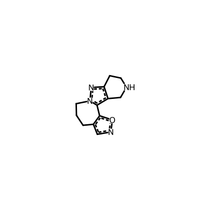 c1noc2c1CCCn1nc3c(c1-2)CNCC3